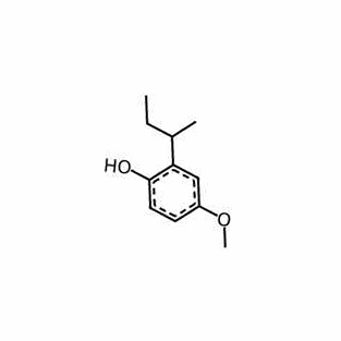 CCC(C)c1cc(OC)ccc1O